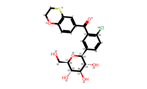 O=C(c1ccc2c(c1)SCCO2)c1cc([C@@H]2O[C@H](CO)[C@@H](O)[C@H](O)[C@H]2O)ccc1Cl